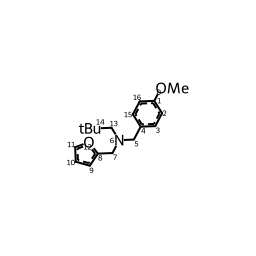 COc1ccc(CN(Cc2ccco2)CC(C)(C)C)cc1